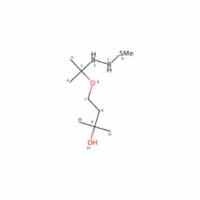 CSBBC(C)(C)OCCC(C)(C)O